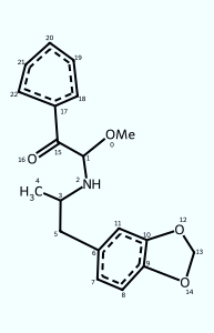 COC(NC(C)Cc1ccc2c(c1)OCO2)C(=O)c1ccccc1